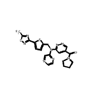 O=C(c1cnnc(N(Cc2ccc(-c3noc(C(F)(F)F)n3)s2)c2cnccn2)c1)N1CCCC1